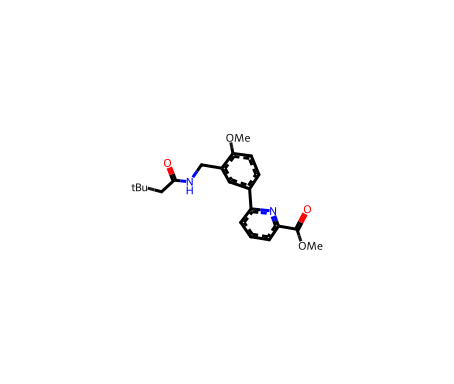 COC(=O)c1cccc(-c2ccc(OC)c(CNC(=O)CC(C)(C)C)c2)n1